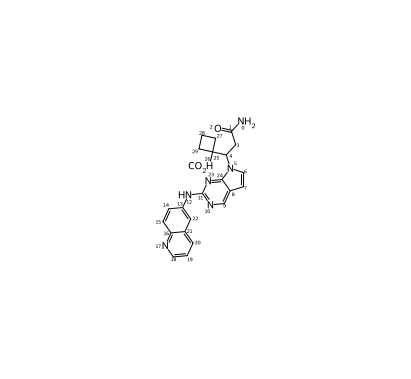 NC(=O)CC(n1ccc2cnc(Nc3ccc4ncccc4c3)nc21)C1(C(=O)O)CCC1